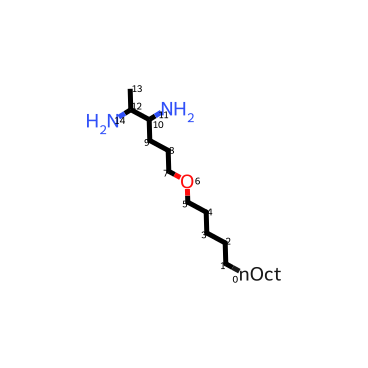 CCCCCCCCCCCCCOCCCC(N)C(C)N